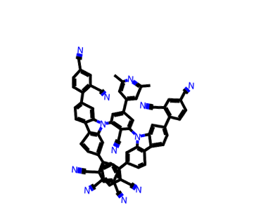 Cc1cc(-c2cc(-n3c4cc(-c5ccc(C#N)cc5C#N)ccc4c4ccc(-c5ccc(C#N)cc5C#N)cc43)c(C#N)c(-n3c4cc(-c5ccc(C#N)cc5C#N)ccc4c4ccc(-c5ccc(C#N)cc5C#N)cc43)c2)cc(C)n1